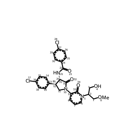 COCC(CO)n1cccc(N2C[C@@H](c3ccc(Cl)cc3)[C@H](NC(=O)c3ccc(Cl)cc3)C2=O)c1=O